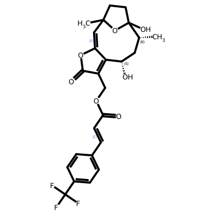 C[C@@H]1C[C@H](O)C2=C(COC(=O)/C=C/c3ccc(C(F)(F)F)cc3)C(=O)O/C2=C/C2(C)CCC1(O)O2